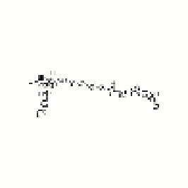 Cc1ncsc1-c1ccc(CNC(=O)[C@@H]2C[C@@H](O)CN2C(=O)[C@@H](NC(=O)CCOCCOCCOCCOCCOCCC(=O)NCCn2ncc3cc(C(=O)Nc4ccc5[nH]c(CN6CCC[C@@H]6C)nc5c4)ccc32)C(C)(C)C)cc1